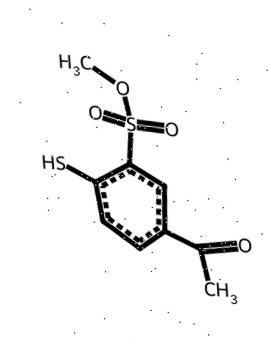 COS(=O)(=O)c1cc(C(C)=O)ccc1S